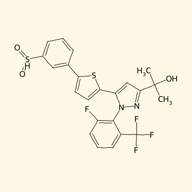 CC(C)(O)c1cc(-c2ccc(-c3cccc([SH](=O)=O)c3)s2)n(-c2c(F)cccc2C(F)(F)F)n1